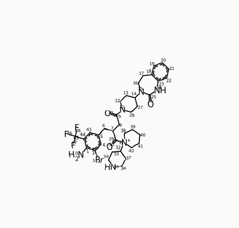 Nc1c(Br)cc(C[C@@H](CC(=O)N2CCC(N3CCc4ccccc4NC3=O)CC2)C(=O)[N+]2(C3CCNCC3)CCCCC2)cc1C(F)(F)F